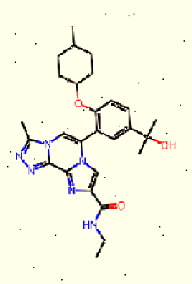 CCNC(=O)c1cn2c(-c3cc(C(C)(C)O)ccc3OC3CCC(C)CC3)cn3c(C)nnc3c2n1